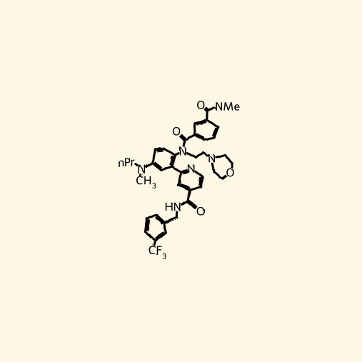 CCCN(C)c1ccc(N(CCN2CCOCC2)C(=O)c2cccc(C(=O)NC)c2)c(-c2cc(C(=O)NCc3cccc(C(F)(F)F)c3)ccn2)c1